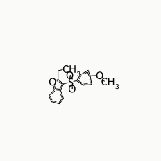 CCc1oc2ccccc2c1S(=O)(=O)c1ccc(OC)cc1